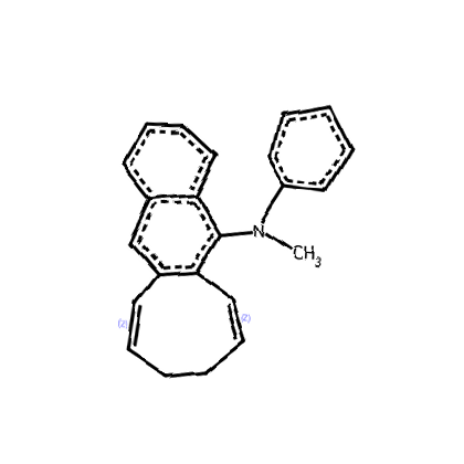 CN(c1ccccc1)c1c2c(cc3ccccc13)/C=C\CC/C=C\2